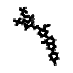 COc1cc(-n2cnc3cc(-c4ccc(Cl)cc4)sc3c2=O)ccc1OC[C@H](OP(=O)(OCC[Si](C)(C)C)OCC[Si](C)(C)C)C1CC1